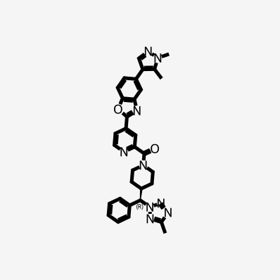 Cc1nnn([C@@H](c2ccccc2)C2CCN(C(=O)c3cc(-c4nc5cc(-c6cnn(C)c6C)ccc5o4)ccn3)CC2)n1